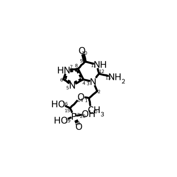 CC(CN1c2nc[nH]c2C(=O)NC1N)OC(O)P(=O)(O)O